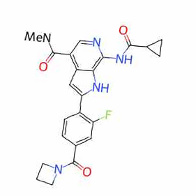 CNC(=O)c1cnc(NC(=O)C2CC2)c2[nH]c(-c3ccc(C(=O)N4CCC4)cc3F)cc12